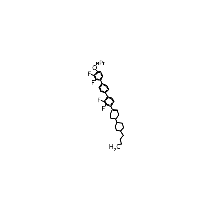 C=CCCC1CCC(C2CC=C(c3ccc(-c4ccc(-c5ccc(OCCC)c(F)c5F)cc4)c(F)c3F)CC2)CC1